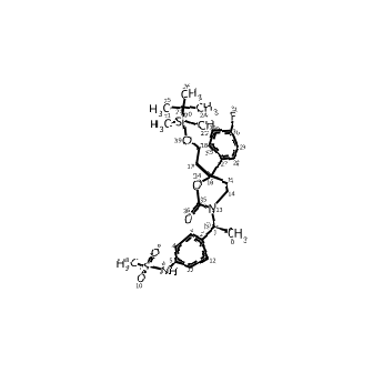 C[C@@H](c1ccc(NS(C)(=O)=O)cc1)N1CCC(CCO[Si](C)(C)C(C)(C)C)(c2ccc(F)cc2)OC1=O